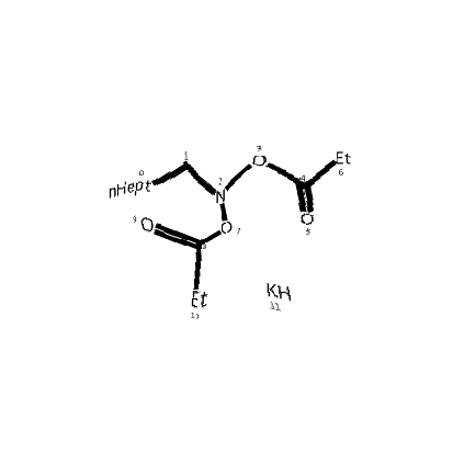 CCCCCCCCN(OC(=O)CC)OC(=O)CC.[KH]